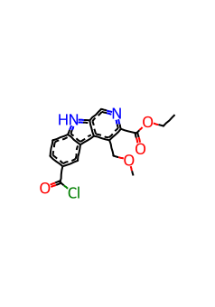 CCOC(=O)c1ncc2[nH]c3ccc(C(=O)Cl)cc3c2c1COC